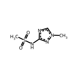 Cn1cnc(NS(C)(=O)=O)n1